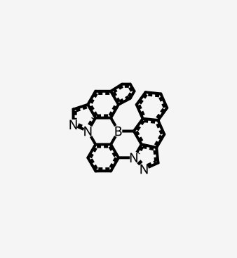 c1cc2c3c(c1)-n1ncc4cc5ccccc5c(c41)B3c1c3ccccc3cc3cnn-2c13